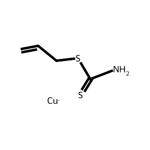 C=CCSC(N)=S.[Cu]